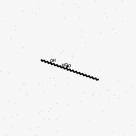 CCCCCCCCCCCCCCCCCCCCC(CCCCCCCCCC(O)CCCCCC)C(=O)O